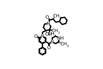 C[C@@H]1CN(C(=O)c2cn(C[C@@]3(O)CCN(C(=O)[C@H](C)CC4CCCCC4)CC3(C)C)c(=O)cc2-c2ccccc2)CCN1